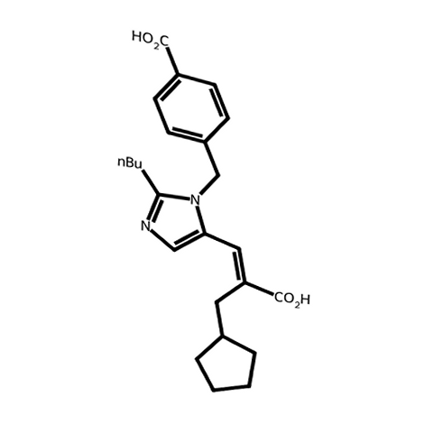 CCCCc1ncc(C=C(CC2CCCC2)C(=O)O)n1Cc1ccc(C(=O)O)cc1